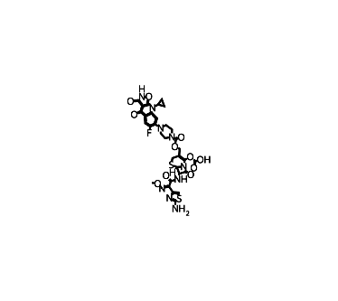 CO/N=C(\C(=O)N[C@@H]1C(=O)N2C(OC(=O)O)=C(COC(=O)N3CCN(c4cc5c(cc4F)c(=O)c4c(=O)[nH]oc4n5C4CC4)CC3)CS[C@H]12)c1csc(N)n1